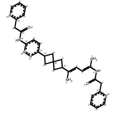 N/C(=C\C=C(/N)NC(=O)Cc1ccccn1)C1CC2(C1)CC(c1ccc(NC(=O)Cc3ccccn3)nn1)C2